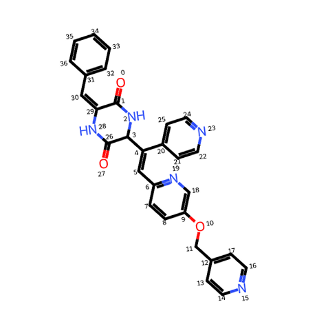 O=C1NC(C(=Cc2ccc(OCc3ccncc3)cn2)c2ccncc2)C(=O)NC1=Cc1ccccc1